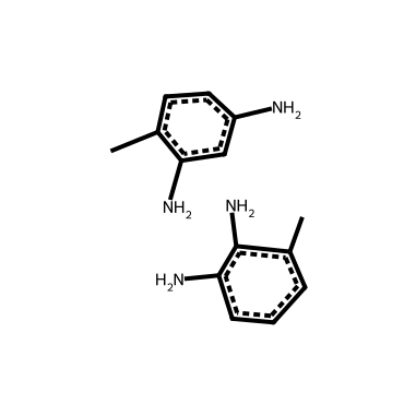 Cc1ccc(N)cc1N.Cc1cccc(N)c1N